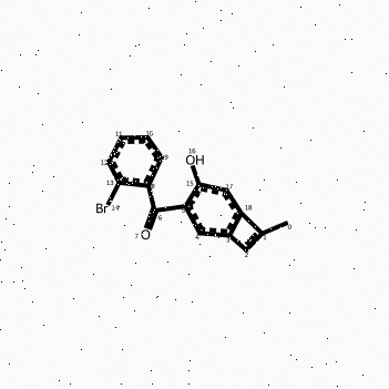 CC1=Cc2cc(C(=O)c3ccccc3Br)c(O)cc21